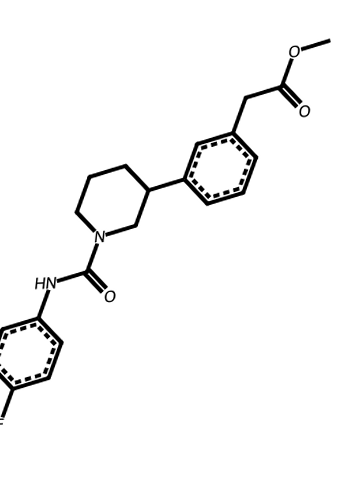 COC(=O)Cc1cccc(C2CCCN(C(=O)Nc3ccc(F)cc3)C2)c1